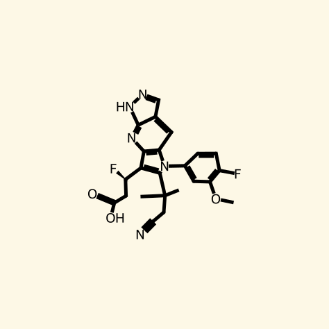 COc1cc(-n2c(C(C)(C)CC#N)c([C@H](F)CC(=O)O)c3nc4[nH]ncc4cc32)ccc1F